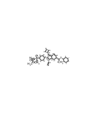 CN(Cc1ccccc1)c1cnc2c(c1)c(C#N)c(-c1ccc(S(=O)(=O)NC(C)(C)C)cc1)n2C1=CC=C1